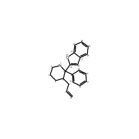 C=CCC1CCC[N]C1(c1ccccc1)c1cc2ccccc2o1